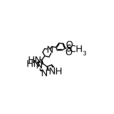 CS(=O)(=O)c1ccc(CN2CCC(C3=C4c5cc[nH]c5N=CN4NN3)CC2)cc1